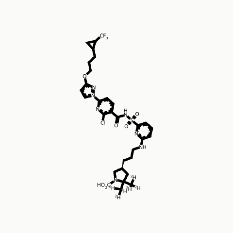 [2H]C([2H])([2H])C1(C([2H])([2H])[2H])C[C@H](CCCNc2cccc(S(=O)(=O)NC(=O)c3ccc(-n4ccc(OCCCC5CC5C(F)(F)F)n4)nc3Cl)n2)CN1C(=O)O